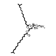 CC(C)CCCCCCCCCCCC(=O)OCC(COP(=O)(O)OCCN)OC(=O)CCCCCCCCCCCC(C)C